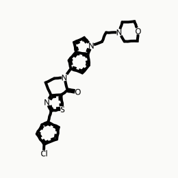 O=C1c2sc(-c3ccc(Cl)cc3)nc2CCN1c1ccc2c(ccn2CCN2CCOCC2)c1